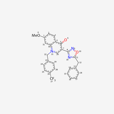 COc1ccc2c(=O)c(-c3noc(Cc4ccccc4)n3)cn(Cc3ccc(C(F)(F)F)cc3)c2c1